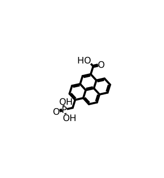 O=C(O)c1cc2ccc(CP(=O)(O)O)c3ccc4cccc1c4c23